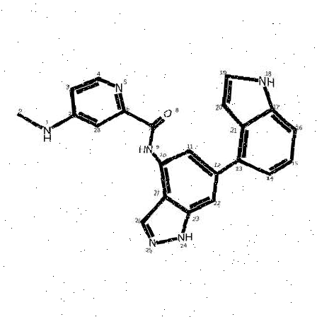 CNc1ccnc(C(=O)Nc2cc(-c3cccc4[nH]ccc34)cc3[nH]ncc23)c1